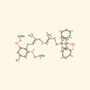 CCc1cc(OCOC)c(C/C=C(\C)CC/C=C(\C)CCC(C)(C)[Si](O)(c2ccccc2)c2ccccc2)c(OCOC)c1